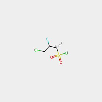 C[C@@H](C(F)CCl)S(=O)(=O)Cl